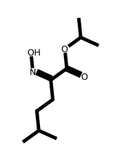 CC(C)CCC(=NO)C(=O)OC(C)C